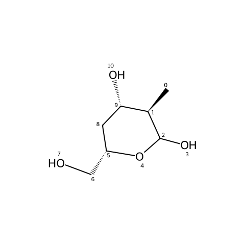 C[C@H]1C(O)O[C@H](CO)C[C@@H]1O